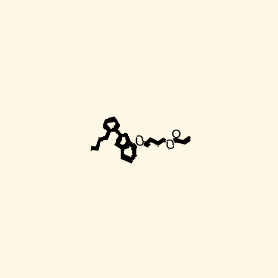 C=CC(=O)OCCCCOc1cccc2c1CC(c1ccccc1CCCC)=C2